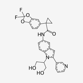 O=C(Nc1ccc2c(c1)cc(-c1cccnc1)n2C(CO)CO)C1(c2ccc3c(c2)OC(F)(F)O3)CC1